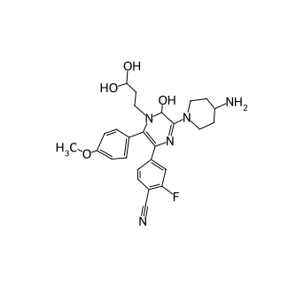 COc1ccc(C2=C(c3ccc(C#N)c(F)c3)N=C(N3CCC(N)CC3)C(O)N2CCC(O)O)cc1